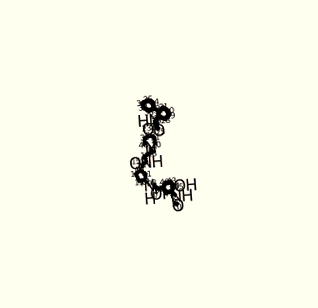 O=CNc1cc([C@@H](O)CN[C@H]2CC[C@@H](C(=O)NCCN3CCC(OC(=O)Nc4ccccc4-c4ccccc4)CC3)C2)ccc1O